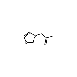 C=C(C)[CH]N1C=COC1